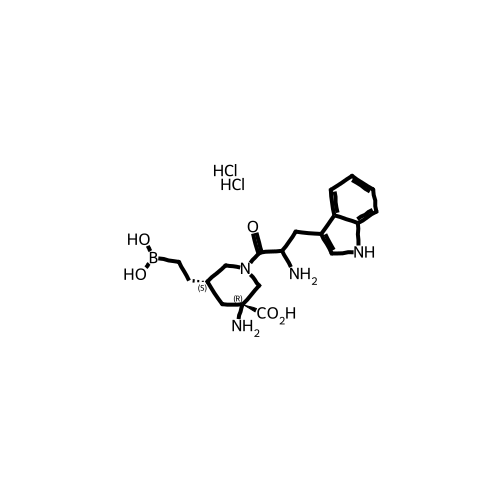 Cl.Cl.NC(Cc1c[nH]c2ccccc12)C(=O)N1C[C@@H](CCB(O)O)C[C@](N)(C(=O)O)C1